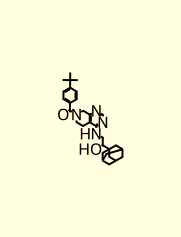 CC(C)(C)c1ccc(C(=O)N2CCc3c(ncnc3NCC(O)C34CC5CC(CC(C5)C3)C4)C2)cc1